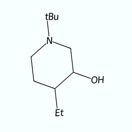 CCC1CCN(C(C)(C)C)CC1O